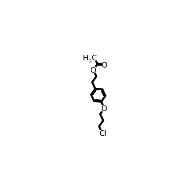 CC(=O)OCCc1ccc(OCCCCl)cc1